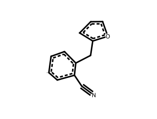 N#Cc1c[c]ccc1Cc1ccco1